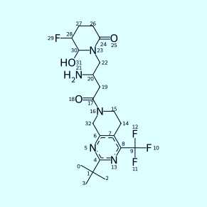 CC(C)(C)c1nc2c(c(C(F)(F)F)n1)CCN(C(=O)CC(N)CN1C(=O)CCC(F)C1O)C2